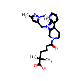 Cc1cc(Cn2c3c(c4cccnc42)CCN(C(=O)CCCC(C)(C)C(=O)O)C3)n(C)n1